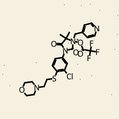 CC1(C)C(=O)N(c2ccc(SCCN3CCOCC3)c(Cl)c2)C(=O)[N+]1(Cc1ccncc1)OC(=O)C(F)(F)F